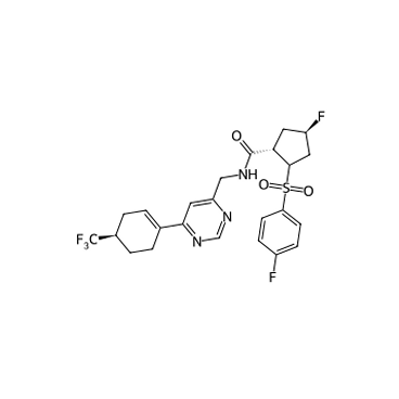 O=C(NCc1cc(C2=CC[C@H](C(F)(F)F)CC2)ncn1)[C@@H]1C[C@@H](F)CC1S(=O)(=O)c1ccc(F)cc1